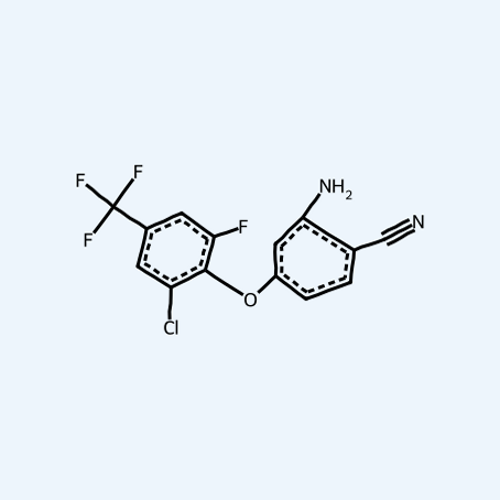 N#Cc1ccc(Oc2c(F)cc(C(F)(F)F)cc2Cl)cc1N